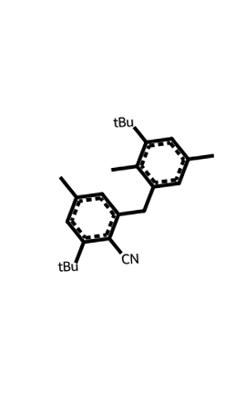 Cc1cc(Cc2cc(C)cc(C(C)(C)C)c2C#N)c(C)c(C(C)(C)C)c1